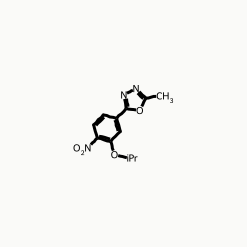 Cc1nnc(-c2ccc([N+](=O)[O-])c(OC(C)C)c2)o1